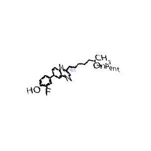 CCCCCOC(C)CCC/C=C/c1cnc2cc(-c3ccc(O)c(F)c3)ccc2n1